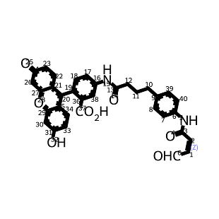 O=C/C=C\C(=O)Nc1ccc(CCCC(=O)Nc2ccc(-c3c4ccc(=O)cc-4oc4cc(O)ccc34)c(C(=O)O)c2)cc1